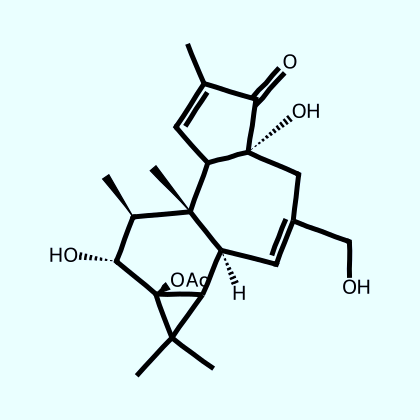 CC(=O)O[C@]12C([C@@H]3C=C(CO)C[C@]4(O)C(=O)C(C)=CC4[C@@]3(C)[C@H](C)[C@H]1O)C2(C)C